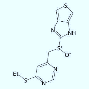 CCSc1cc(C[S+]([O-])c2nc3cscc3[nH]2)ncn1